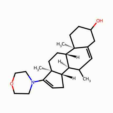 CC1C=C2CC(O)CC[C@]2(C)[C@H]2CC[C@]3(C)C(N4CCOCC4)=CC[C@H]3[C@H]12